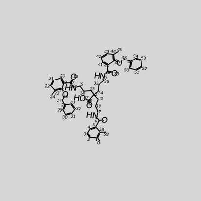 Cc1cccc(C(=O)NCCCC(CCCNC(=O)c2cccc(C)c2OCc2ccccc2)(CCCNC(=O)c2cccc(C)c2OCc2ccccc2)C(=O)O)c1C